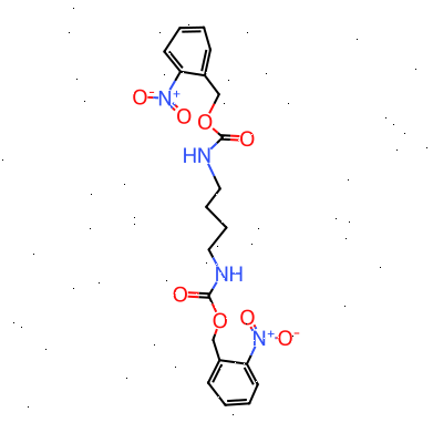 O=C(NCCCCNC(=O)OCc1ccccc1[N+](=O)[O-])OCc1ccccc1[N+](=O)[O-]